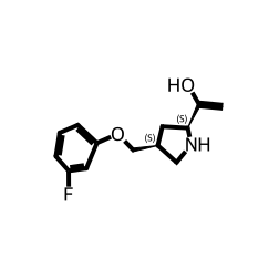 C=C(O)[C@@H]1C[C@H](COc2cccc(F)c2)CN1